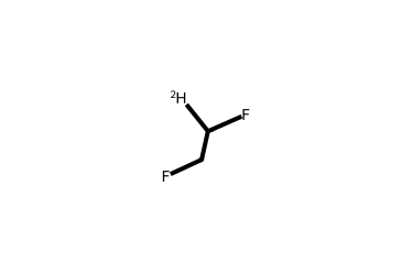 [2H][C](F)CF